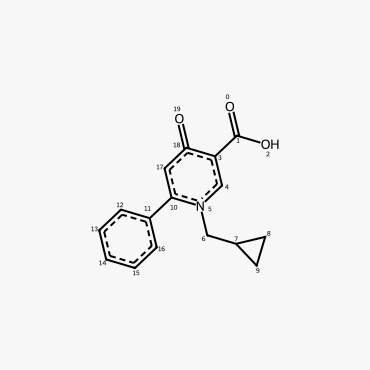 O=C(O)c1cn(CC2CC2)c(-c2ccccc2)cc1=O